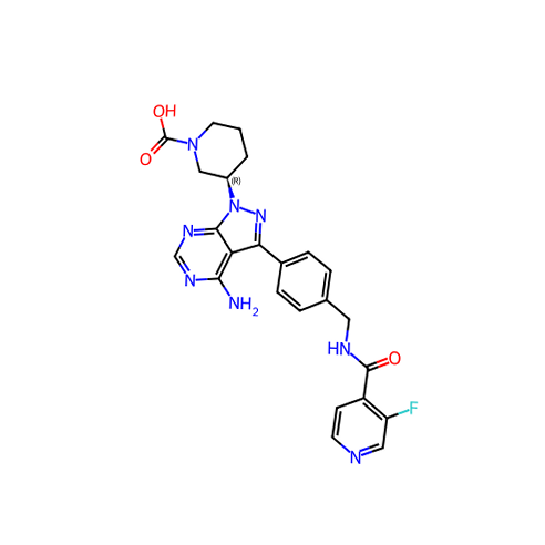 Nc1ncnc2c1c(-c1ccc(CNC(=O)c3ccncc3F)cc1)nn2[C@@H]1CCCN(C(=O)O)C1